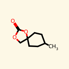 CC1CCC2(CC1)COC(=O)O2